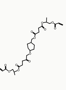 C=CC(=O)OCC(C)OC(=O)CCC(=O)COC1CCC(COC(=O)CCC(=O)OC(C)COC(=O)C=C)CC1